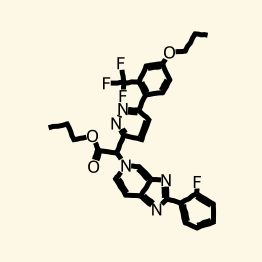 CCCOC(=O)C(c1ccc(-c2ccc(OCCC)cc2C(F)(F)F)nn1)n1ccc2nc(-c3ccccc3F)nc-2c1